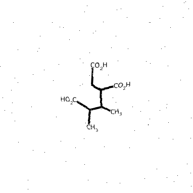 CC(C(=O)O)C(C)C(CC(=O)O)C(=O)O